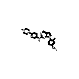 Cc1cc(N)ccc1-n1ccc2cnc(Nc3ccc(N4CCN(C)CC4)nc3)nc21